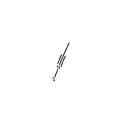 CC#[N+][S-]